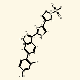 CCc1cc(O)ccc1-c1ccc2c(-c3nc(C4=CCN(S(C)(=O)=O)C4)c[nH]3)n[nH]c2c1